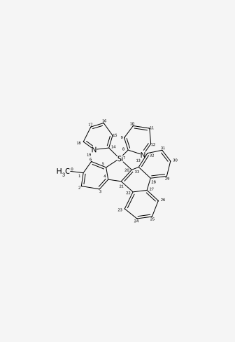 Cc1ccc2c(c1)[Si](c1ccccn1)(c1ccccn1)c1c-2c2ccccc2c2ccccc12